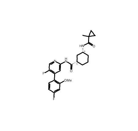 COc1cc(F)ccc1-c1cc(NC(=O)[C@H]2CCC[C@@H](NC(=O)C3(C)CC3)C2)ncc1F